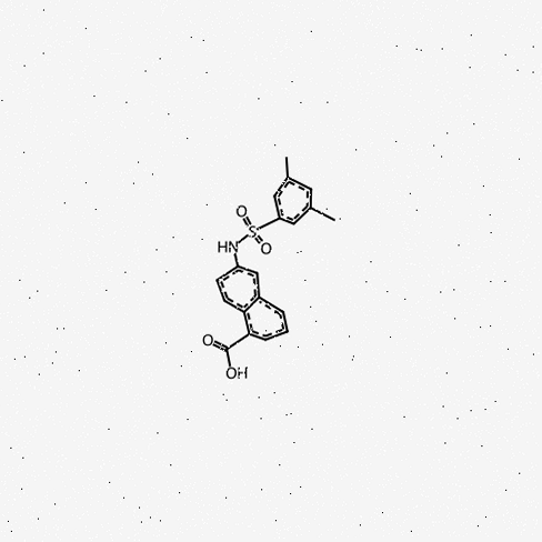 Cc1cc(C)cc(S(=O)(=O)Nc2ccc3c(C(=O)O)cccc3c2)c1